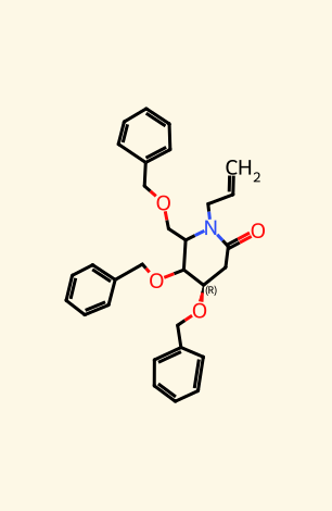 C=CCN1C(=O)C[C@@H](OCc2ccccc2)C(OCc2ccccc2)C1COCc1ccccc1